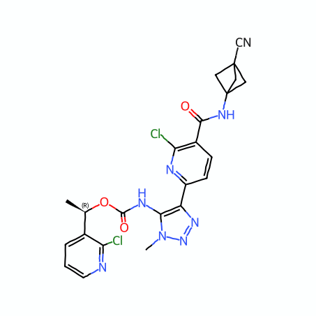 C[C@@H](OC(=O)Nc1c(-c2ccc(C(=O)NC34CC(C#N)(C3)C4)c(Cl)n2)nnn1C)c1cccnc1Cl